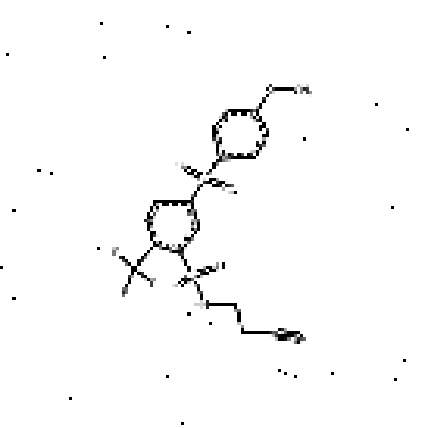 COc1ccc(S(=O)(=O)c2ccc(C(F)(F)F)c(S(=O)(=O)NCCC#N)c2)cc1